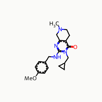 COc1ccc(CNc2nc3c(c(=O)n2CC2CC2)CCN(C)C3)cc1